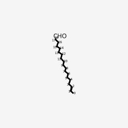 C/C=C/CCCCCCCCCCCCCCCC=O